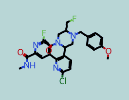 CNC(=O)c1cc(-c2nc(Cl)ccc2C2CN(Cc3ccc(OC)cc3)C(CF)CN2C(C)=O)cc(F)n1